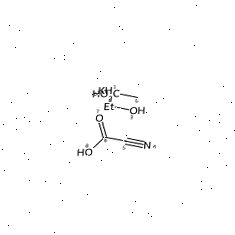 CC(=O)O.CCO.N#CC(=O)O.[KH]